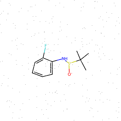 CC(C)(C)[S+]([O-])Nc1ccccc1F